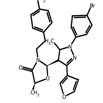 CC1C([C@H]2O[C@@H](C)C(=O)N2CCc2ccc(N)cc2)C(c2ccoc2)=NN1c1ccc(Br)cc1